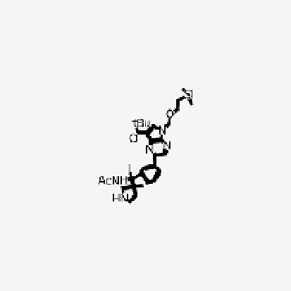 CC(=O)NC(I)(c1cccc(-c2cnc3c(n2)c(C(=O)C(C)(C)C)cn3COCC[Si](C)(C)C)c1)C1(C)CCNC1